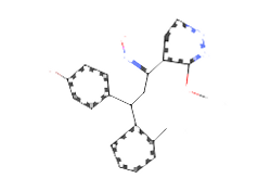 COc1nnccc1C(CC(c1ccc(Br)cc1)c1ccccc1C)=NO